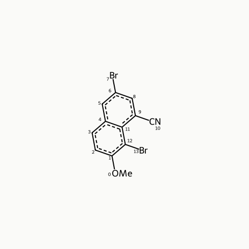 COc1ccc2cc(Br)cc(C#N)c2c1Br